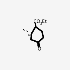 CCOC(=O)C1CCC(=O)C[C@@H]1C